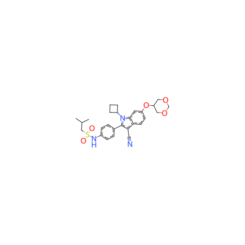 CC(C)CS(=O)(=O)Nc1ccc(-c2c(C#N)c3ccc(OC4COCOC4)cc3n2C2CCC2)cc1